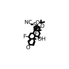 CC1(C)OC2CC3C4C[C@H](F)C5=CC(=O)C=CC5(C)[C@@]4(F)C(O)CC3(C)C2(C(=O)SCC#N)O1